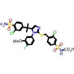 COc1cc(-n2c(C(C)(C)c3ccc(S(N)(=O)=O)c(Cl)c3)cnc2SCc2ccc(S(=O)(=O)NC(=O)O)cc2Cl)ccc1F